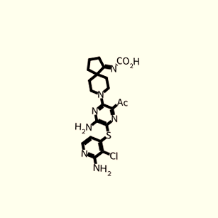 CC(=O)c1nc(Sc2ccnc(N)c2Cl)c(N)nc1N1CCC2(CCCC2=NC(=O)O)CC1